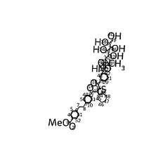 COC(=O)c1ccc(CCc2ccc(C(=O)c3c(C(=O)c4cccc(NS(=O)(=O)N(C)C[C@H](O)[C@@H](O)[C@H](O)[C@H](O)CO)c4)sc4c3CCCC4)cc2)cc1